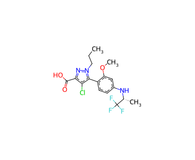 CCCn1nc(C(=O)O)c(Cl)c1-c1ccc(N[C@H](C)C(F)(F)F)cc1OC